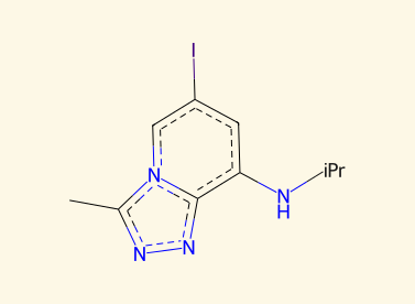 Cc1nnc2c(NC(C)C)cc(I)cn12